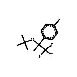 Cc1ccc(C(C)(OC(C)(C)C)C(F)(F)F)cc1